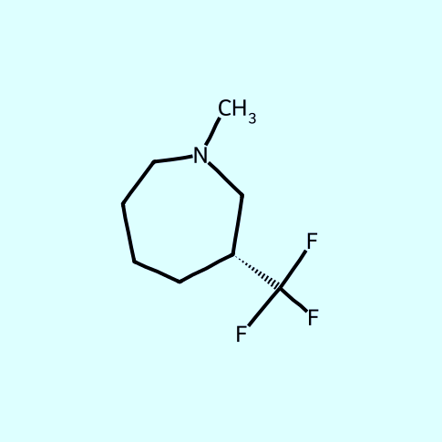 CN1CCCC[C@@H](C(F)(F)F)C1